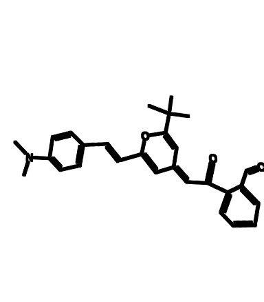 CN(C)c1ccc(/C=C/C2=CC(=C/C(=O)c3ccccc3C=O)/C=C(C(C)(C)C)O2)cc1